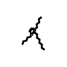 CCCCCCCc1n(CCCCC)cc[n+]1CCCCC